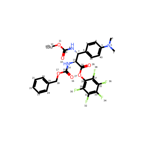 CN(C)c1ccc([C@@H](NC(=O)OC(C)(C)C)[C@H](NC(=O)OCc2ccccc2)C(=O)Oc2c(F)c(F)c(F)c(F)c2F)cc1